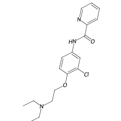 CCN(CC)CCOc1ccc(NC(=O)c2ccccn2)cc1Cl